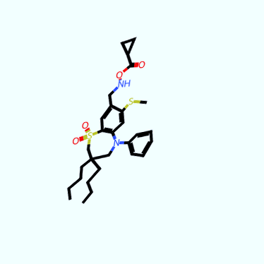 CCCCC1(CCCC)CN(c2ccccc2)c2cc(SC)c(CNOC(=O)C3CC3)cc2S(=O)(=O)C1